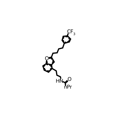 CCCC(=O)NCCCc1cccc2oc(CCCCc3ccc(C(F)(F)F)cc3)cc12